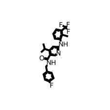 Cc1c(Nc2cc(C(C)C)c(C(=O)NCc3ccc(F)cc3)cn2)cccc1C(F)(F)F